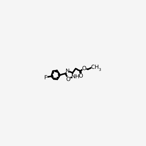 CCOC(=O)CC1N=C(c2ccc(F)cc2)ON1